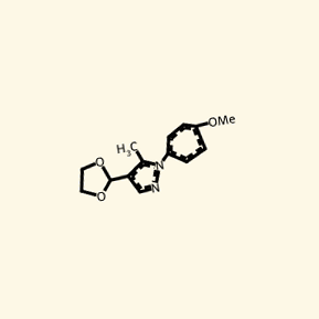 COc1ccc(-n2ncc(C3OCCO3)c2C)cc1